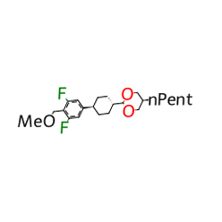 CCCCC[C@H]1CO[C@H]([C@H]2CC[C@H](c3cc(F)c(COC)c(F)c3)CC2)OC1